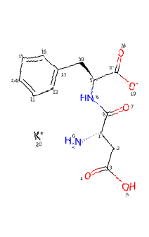 N[C@@H](CC(=O)O)C(=O)N[C@@H](Cc1ccccc1)C(=O)[O-].[K+]